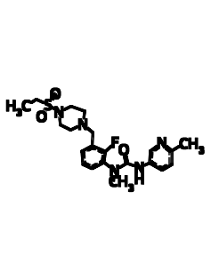 CCS(=O)(=O)N1CCN(Cc2cccc(N(C)C(=O)Nc3ccc(C)nc3)c2F)CC1